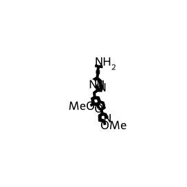 COc1ccc(C2CCc3cc(Cc4cnn5cc(C#CC(C)(C)N)cnc45)cc(OC)c3O2)cn1